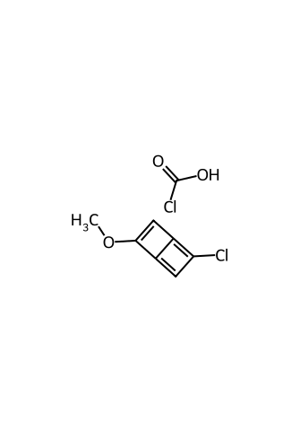 COc1cc2c(Cl)cc1-2.O=C(O)Cl